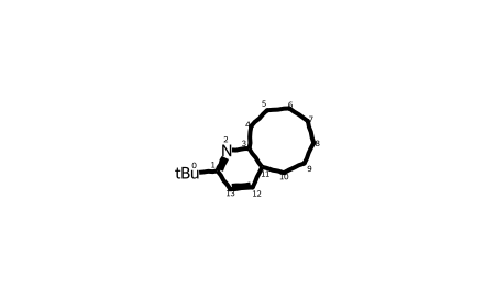 CC(C)(C)C1=NC2CCCCCCCC2C=C1